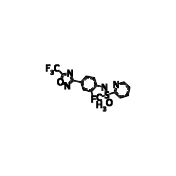 CS(=O)(=Nc1ccc(-c2noc(C(F)(F)F)n2)cc1F)c1ccccn1